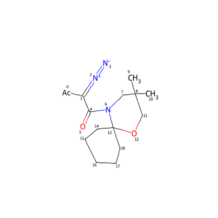 CC(=O)C(=[N+]=[N-])C(=O)N1CC(C)(C)COC12CCCCC2